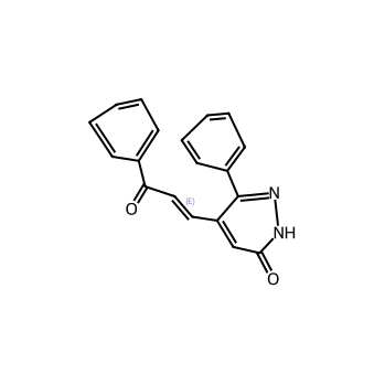 O=C(/C=C/c1cc(=O)[nH]nc1-c1ccccc1)c1ccccc1